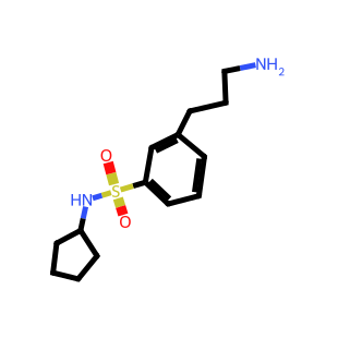 NCCCc1cccc(S(=O)(=O)NC2CCCC2)c1